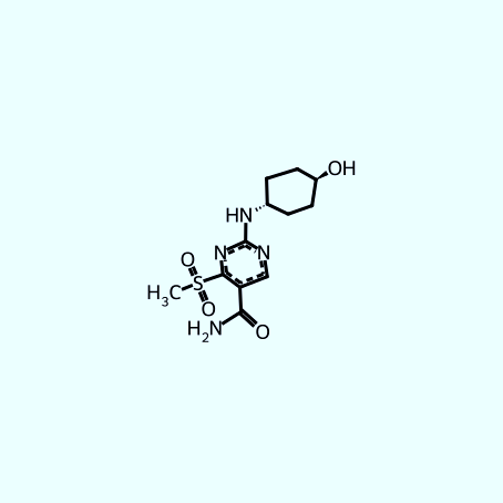 CS(=O)(=O)c1nc(N[C@H]2CC[C@H](O)CC2)ncc1C(N)=O